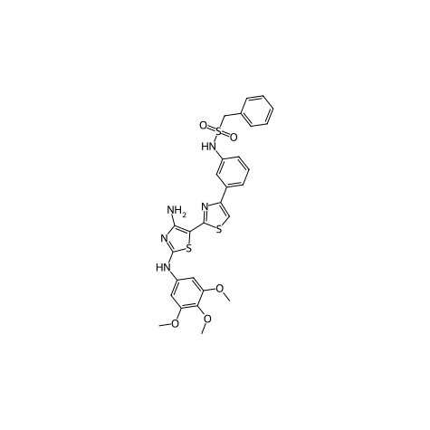 COc1cc(Nc2nc(N)c(-c3nc(-c4cccc(NS(=O)(=O)Cc5ccccc5)c4)cs3)s2)cc(OC)c1OC